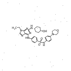 CCn1cnc2c(Nc3ccc(S(=O)(=O)Nc4ccc(N5CCOCC5)cc4)cc3)nc(N[C@H]3CC[C@H](O)CC3)nc21